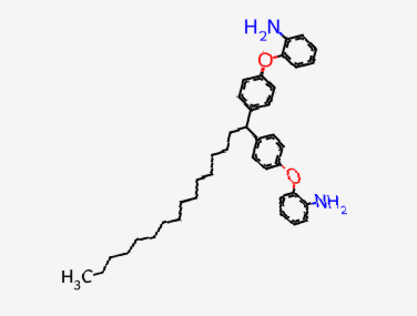 CCCCCCCCCCCCCCCC(c1ccc(Oc2ccccc2N)cc1)c1ccc(Oc2ccccc2N)cc1